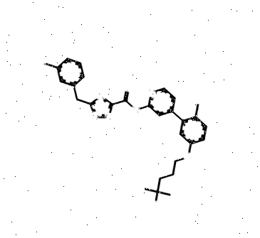 Cc1ccc(OCCCC(C)(C)O)cc1-c1ccnc(NC(=O)c2nnc(Cc3cccc(Cl)c3)[nH]2)c1